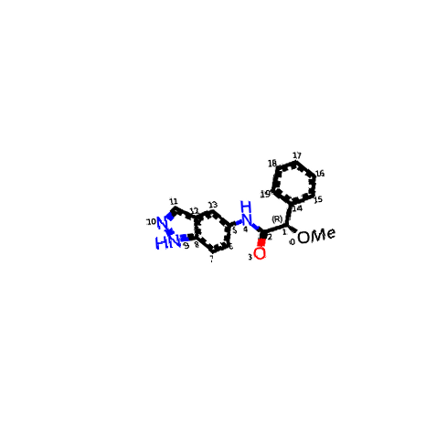 CO[C@@H](C(=O)Nc1ccc2[nH]ncc2c1)c1ccccc1